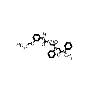 CN(C(=O)CN(C(=O)CNC(=O)Nc1cccc(OCC(=O)O)c1)c1ccccc1)c1ccccc1